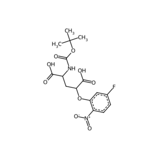 CC(C)(C)OC(=O)NC(CC(Oc1cc(F)ccc1[N+](=O)[O-])C(=O)O)C(=O)O